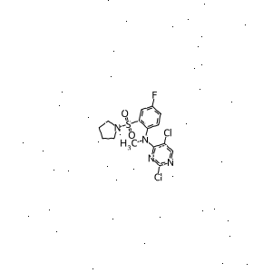 CN(c1ccc(F)cc1S(=O)(=O)N1CCCC1)c1nc(Cl)ncc1Cl